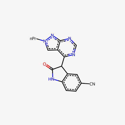 CCCn1cc2c(C3C(=O)Nc4ccc(C#N)cc43)ncnc2n1